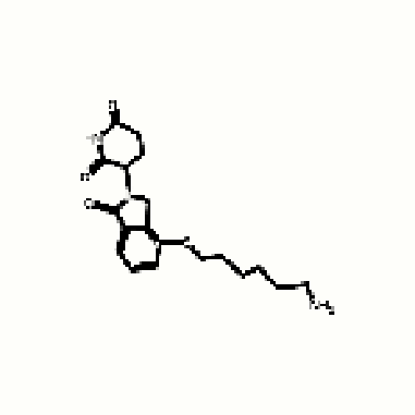 NCCCCCCSc1cccc2c1CN(C1CCC(=O)NC1=O)C2=O